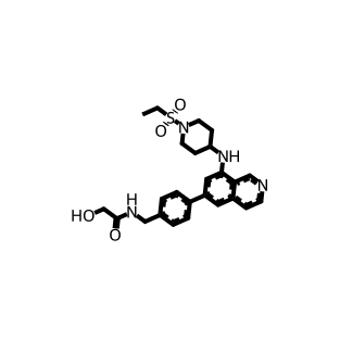 CCS(=O)(=O)N1CCC(Nc2cc(-c3ccc(CNC(=O)CO)cc3)cc3ccncc23)CC1